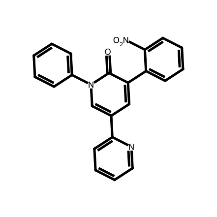 O=c1c(-c2ccccc2[N+](=O)[O-])cc(-c2ccccn2)cn1-c1ccccc1